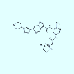 Cc1ncc(NC(=O)CN2C[C@@H]3CC[C@H]2C3)cc1NC(=O)c1cnn2cc(-c3cnn(C4CCOCC4)c3)ncc12